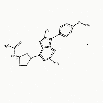 COc1ccc(-c2c(C)nc3c(N4CC[C@@H](NC(C)=O)C4)cc(C)nn23)cn1